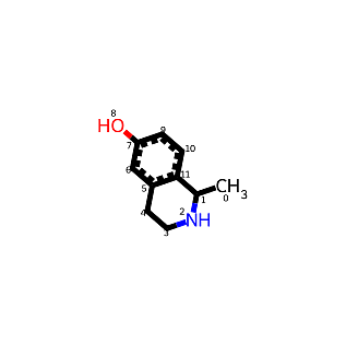 CC1NCCc2cc(O)ccc21